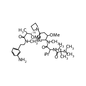 CCC(C)C(C(CC(=O)N1CCC[C@H]1C(OC)C(C)C(=O)N(C)CCc1cccc(N)c1)OC)N(C)C(=O)C(NC(=O)C(C)(C)N(C)C)C(C)C